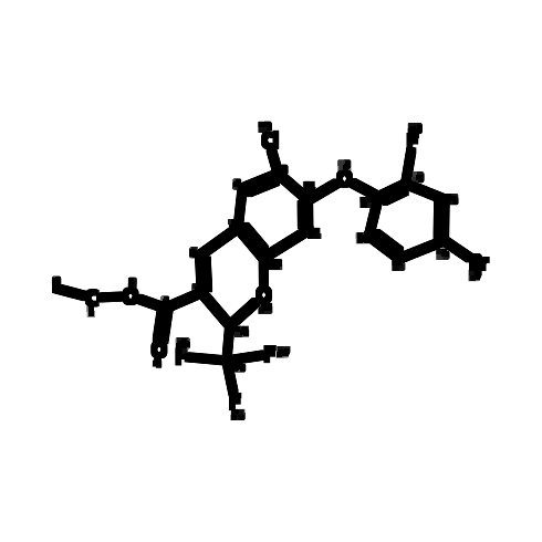 CCOC(=O)C1=Cc2cc(Cl)c(Oc3ccc(Br)cc3F)cc2OC1C(F)(F)F